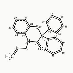 C=CCN1C(=O)C(c2ccccc2)(c2ccccc2)Sc2ccccc21